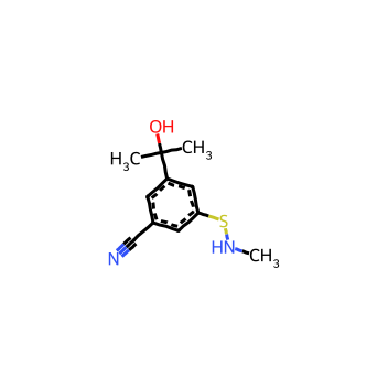 CNSc1cc(C#N)cc(C(C)(C)O)c1